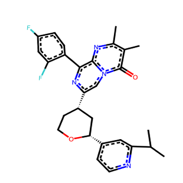 Cc1nc2c(-c3ccc(F)cc3F)nc([C@H]3CCO[C@@H](c4ccnc(C(C)C)c4)C3)cn2c(=O)c1C